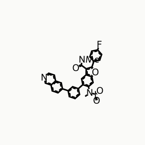 CNC(=O)c1c(-c2ccc(F)cc2)oc2cc(N(C)I(=O)=O)c(-c3cccc(-c4ccc5cnccc5c4)c3)cc12